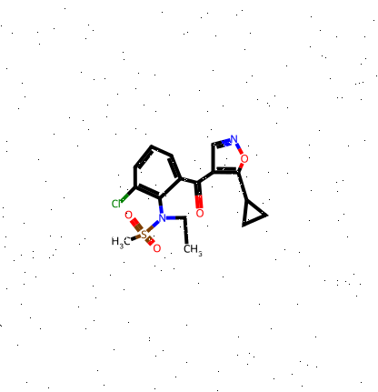 CCN(c1c(Cl)cccc1C(=O)c1cnoc1C1CC1)S(C)(=O)=O